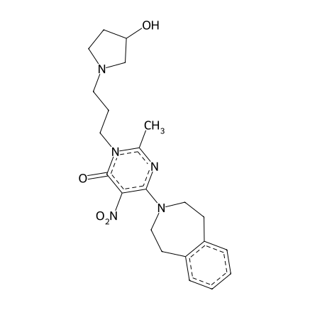 Cc1nc(N2CCc3ccccc3CC2)c([N+](=O)[O-])c(=O)n1CCCN1CCC(O)C1